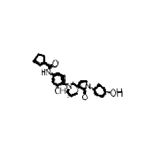 Cc1cc(NC(=O)C2CCCC2)ccc1N1CCC[C@@]2(CCN([C@H]3CC[C@H](O)CC3)C2=O)C1